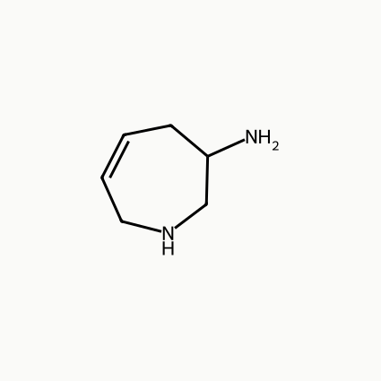 NC1CC=CCNC1